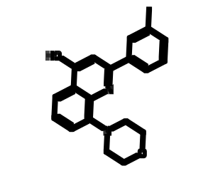 Cc1cccc(-c2cc(O)c3cccc(N4CCOCC4)c3n2)c1